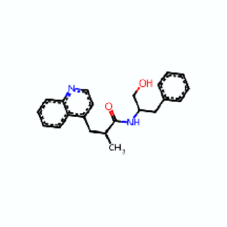 C[C](Cc1ccnc2ccccc12)C(=O)NC(CO)Cc1ccccc1